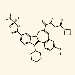 COc1ccc2c(c1)C=C(C(=O)N(C)CC(=O)N1CCC1)Cn1c-2c(C2CCCCC2)c2ccc(C(=O)NS(=O)(=O)N(C)C)cc21